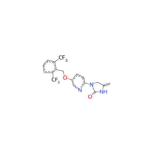 C=C1CN(c2ccc(OCc3c(C(F)(F)F)cccc3C(F)(F)F)cn2)C(=O)N1